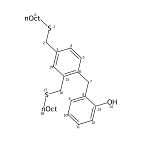 CCCCCCCCSCc1ccc(Cc2ccccc2O)c(CSCCCCCCCC)c1